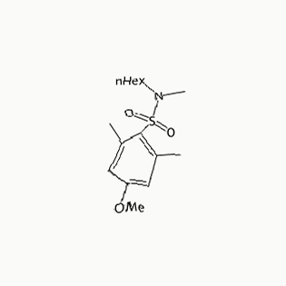 CCCCCCN(C)S(=O)(=O)c1c(C)cc(OC)cc1C